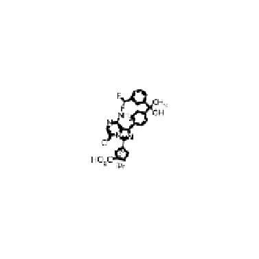 CC(C)[C@@]1(C(=O)O)CC[C@H](c2nc(-c3ccc(C(C)(O)c4cccc(C(F)F)c4)cc3)c3c(N)ncc(Cl)n23)C1